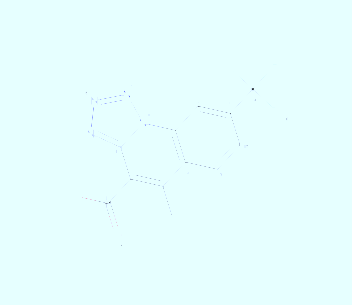 Cc1c(C(=O)O)c2nnnn2c2cc(C(F)(F)F)ccc12